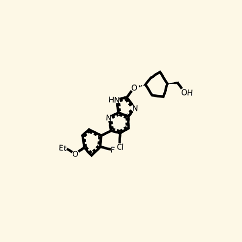 CCOc1ccc(-c2nc3[nH]c(O[C@H]4CC[C@H](CO)CC4)nc3cc2Cl)c(F)c1